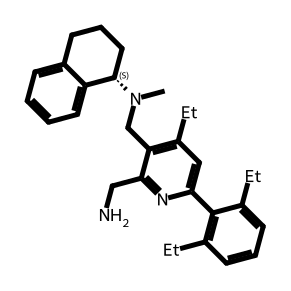 CCc1cc(-c2c(CC)cccc2CC)nc(CN)c1CN(C)[C@H]1CCCc2ccccc21